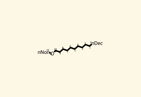 CCCCCCCCCCCCCCCCCCC[CH]OCCCCCCCCC